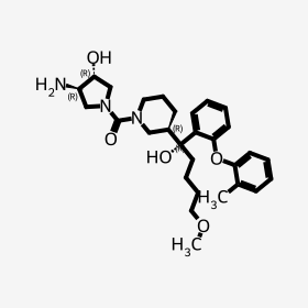 COCCCC[C@](O)(c1ccccc1Oc1ccccc1C)[C@@H]1CCCN(C(=O)N2C[C@@H](N)[C@H](O)C2)C1